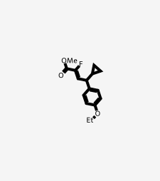 CCOc1ccc(C(/C=C(\F)C(=O)OC)C2CC2)cc1